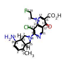 C[C@H]1C=C[C@@H](N)[C@H]2CN(c3ncc4c(=O)c(C(=O)O)cn(CCF)c4c3Cl)C[C@H]21